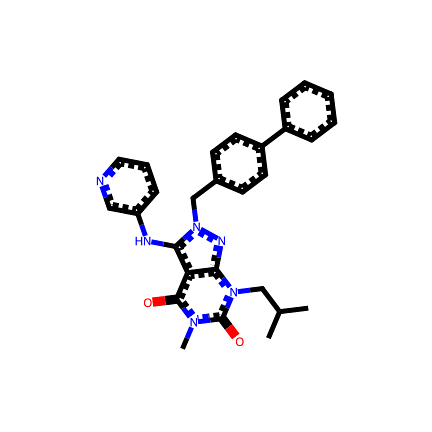 CC(C)Cn1c(=O)n(C)c(=O)c2c(Nc3cccnc3)n(Cc3ccc(-c4ccccc4)cc3)nc21